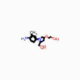 Cc1cc(N2CC(OCCO)CC2CO)ccc1N